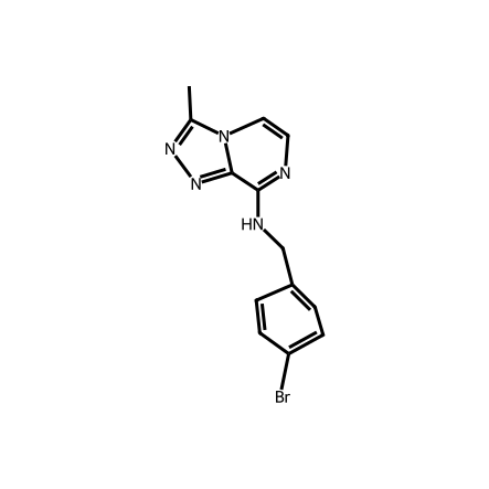 Cc1nnc2c(NCc3ccc(Br)cc3)nccn12